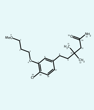 COCCCOc1cc(CCC(C)(C)CC(N)=O)ccc1Cl